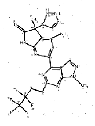 Cn1ncc2c(-c3nc(N)c4c(n3)NC(=O)C4(C)N3C=NNN3)nc(CCC(F)(F)C(F)(F)F)nc21